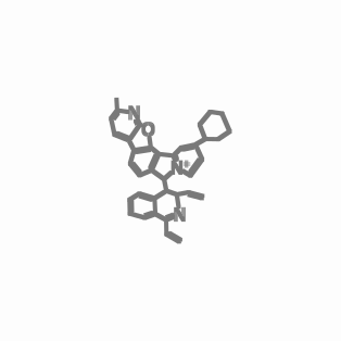 C=CC1=NC(C=C)C(C2c3ccc4c(oc5nc(C)ccc54)c3-c3cc(C4CCCCC4)cc[n+]32)c2ccccc21